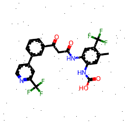 Cc1cc(NC(=O)O)c(NC(=O)CC(=O)c2cccc(-c3ccnc(C(F)(F)F)c3)c2)cc1C(F)(F)F